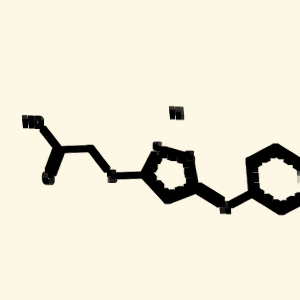 I.O=C(O)CSc1cc(=Nc2ccccc2)ss1